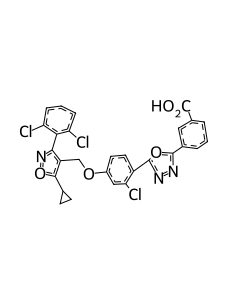 O=C(O)c1cccc(-c2nnc(-c3ccc(OCc4c(-c5c(Cl)cccc5Cl)noc4C4CC4)cc3Cl)o2)c1